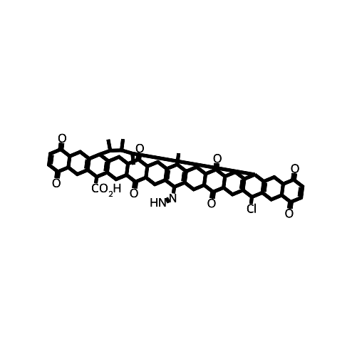 CC1C2=C3CC4C(=O)C5CC6=C(CC5C(=O)C4C2)C(C2=C(CC4C(=O)C=CC(=O)C4C2)C6Cl)C(C)C(C)C(C)C2C4=C(CC5C(=O)C=CC(=O)C5C4)C(C(=O)O)C4=C2CC2C(=O)C5CC1=C(CC5C(=O)C2C4)C3N=N